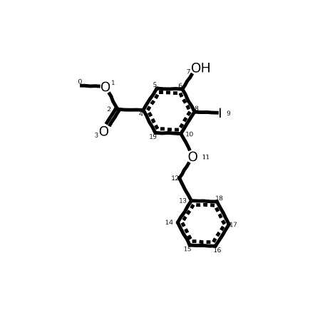 COC(=O)c1cc(O)c(I)c(OCc2ccccc2)c1